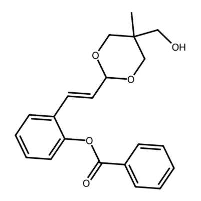 CC1(CO)COC(/C=C/c2ccccc2OC(=O)c2ccccc2)OC1